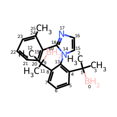 BC(C)(C)c1cccc(C(B)(C)C)c1-n1ccnc1-c1ccccc1C